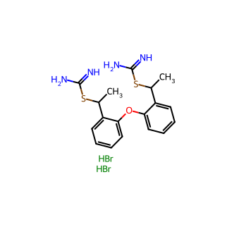 Br.Br.CC(SC(=N)N)c1ccccc1Oc1ccccc1C(C)SC(=N)N